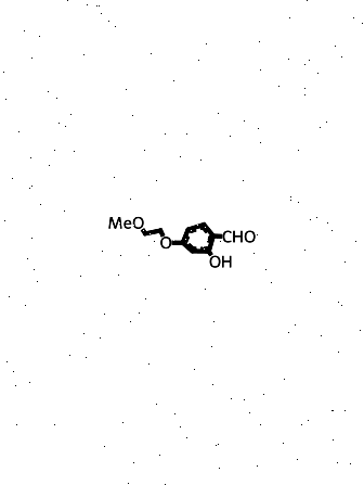 COCCOc1ccc(C=O)c(O)c1